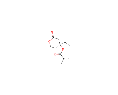 C=C(C)C(=O)OC1(CC)CCOC(=O)C1